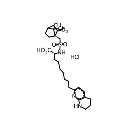 CC1(C)C2CC[C@@]1(CS(=O)(=O)N[C@@H](CCCCCCCc1ccc3c(n1)NCCC3)C(=O)O)C(=O)C2.Cl